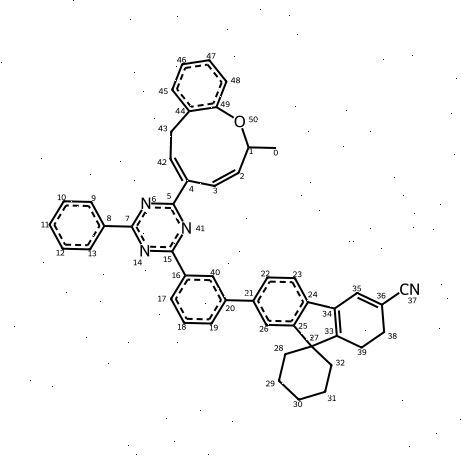 CC1/C=C\C(c2nc(-c3ccccc3)nc(-c3cccc(-c4ccc5c(c4)C4(CCCCC4)C4=C5C=C(C#N)CC4)c3)n2)=C/Cc2ccccc2O1